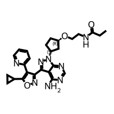 CCC(=O)NCCO[C@@H]1CC[C@H](n2nc(-c3noc(C4CC4)c3-c3ccccn3)c3c(N)ncnc32)C1